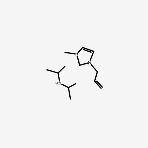 C=CCN1C=CN(C)C1.CC(C)NC(C)C